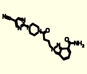 N#Cc1cnc(N2CCN(C(=O)CCCn3cc4cccc(C(N)=O)c4n3)CC2)nc1